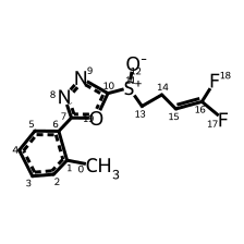 Cc1ccccc1-c1nnc([S+]([O-])CCC=C(F)F)o1